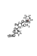 Cc1cc(C(=O)N2CCCC2C(=O)OC(C)(C)C)c(F)cc1OCC12CC3CC(CC(C3)C1)C2